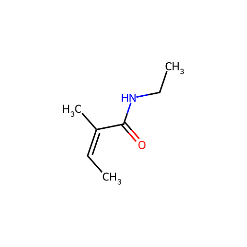 CC=C(C)C(=O)NCC